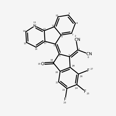 N#CC(C#N)=C1/C(=C2\c3ccccc3-c3ncccc32)C(=O)c2cc(F)c(F)c(F)c21